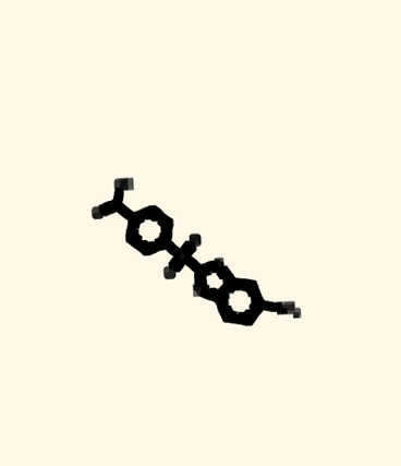 Nc1ccc2nc(S(=O)(=O)c3ccc(C(=O)O)cc3)sc2c1